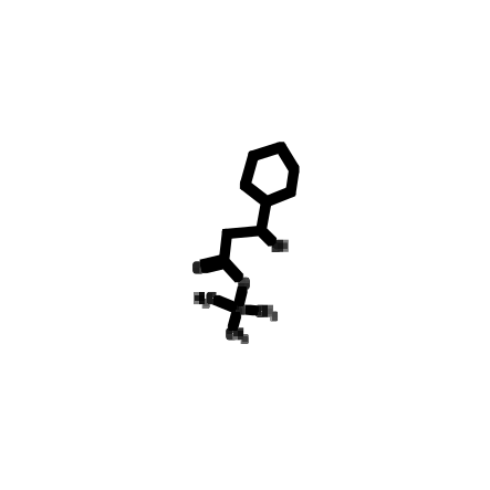 [CH3][Sn]([CH3])([CH3])[O]C(=O)CC(S)C1CCCCC1